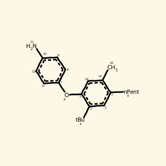 CCCCCc1cc(C(C)(C)C)c(Oc2ccc(N)cc2)cc1C